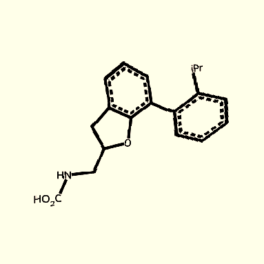 CC(C)c1ccccc1-c1cccc2c1OC(CNC(=O)O)C2